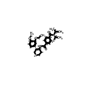 CCOc1cc([C@H]2CSCCC2NC(=O)c2ccc(C(=O)N(C(C)C)C(C)C)cc2)ccc1OC